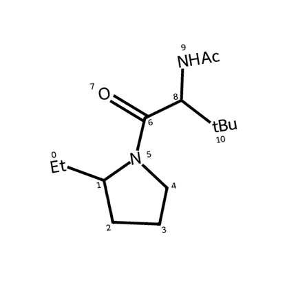 CCC1CCCN1C(=O)C(NC(C)=O)C(C)(C)C